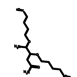 CCCCCCCCCCCCCCOC(N)C(CC(N)=O)OCCCCCCCCCCCCCC